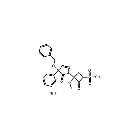 COC1(NC(=O)C(C=O)(OCc2ccccc2)c2ccccc2)CN(S(=O)(=O)O)C1=O.[NaH]